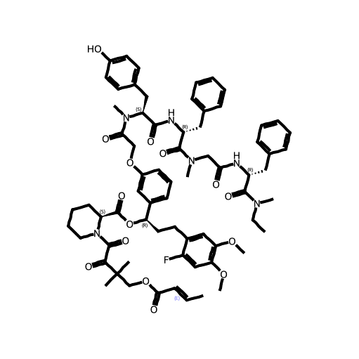 C/C=C/C(=O)OCC(C)(C)C(=O)C(=O)N1CCCC[C@H]1C(=O)O[C@H](CCc1cc(OC)c(OC)cc1F)c1cccc(OCC(=O)N(C)[C@@H](Cc2ccc(O)cc2)C(=O)N[C@H](Cc2ccccc2)C(=O)N(C)CC(=O)N[C@H](Cc2ccccc2)C(=O)N(C)CC)c1